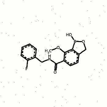 COc1c(C(=O)NCc2ccccc2F)ccc2c1B(O)OC2